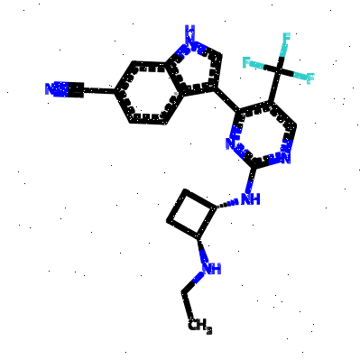 CCN[C@H]1CC[C@@H]1Nc1ncc(C(F)(F)F)c(-c2c[nH]c3cc(C#N)ccc23)n1